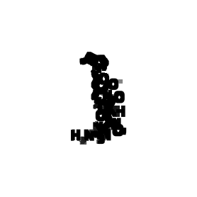 CON=C(C(=O)NC1C(=O)N2C(C(=O)[O-])=C(C=CC[n+]3cccc4c3C(C)C4)CS[C@@H]12)c1nsc(N)n1